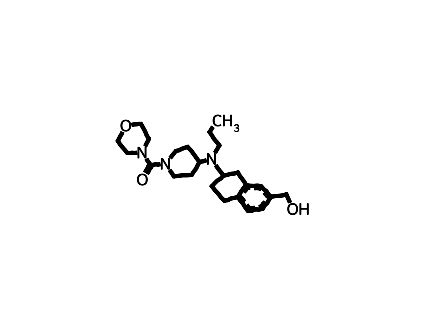 CCCN(C1CCN(C(=O)N2CCOCC2)CC1)C1CCc2ccc(CO)cc2C1